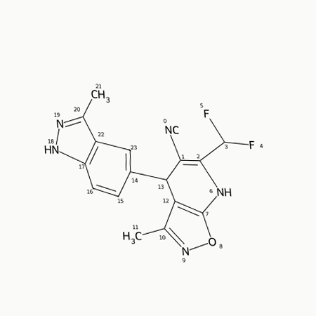 [C-]#[N+]C1=C(C(F)F)Nc2onc(C)c2C1c1ccc2[nH]nc(C)c2c1